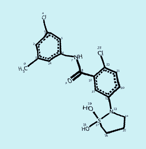 Cc1cc(Cl)cc(NC(=O)c2cc(N3CCCS3(O)O)ccc2Cl)c1